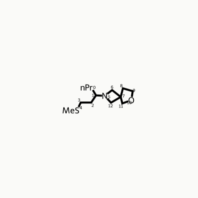 CCCC(CCSC)N1CC2(CCOC2)C1